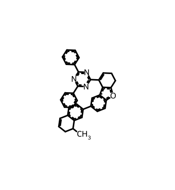 CC1CC=Cc2ccc(-c3ccc4oc5c(c4c3)C(c3nc(-c4ccccc4)nc(-c4ccccc4)n3)=CCC5)cc21